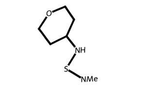 CNSNC1CCOCC1